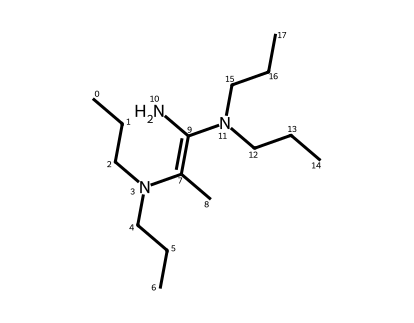 CCCN(CCC)C(C)=C(N)N(CCC)CCC